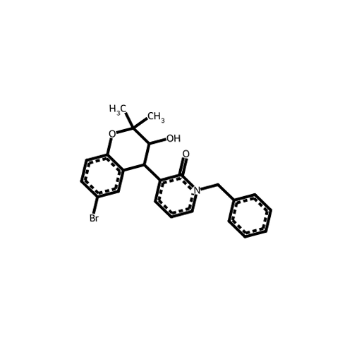 CC1(C)Oc2ccc(Br)cc2C(c2cccn(Cc3ccccc3)c2=O)C1O